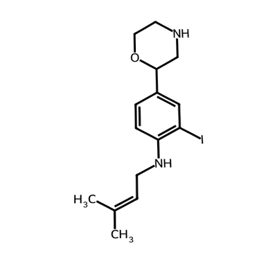 CC(C)=CCNc1ccc(C2CNCCO2)cc1I